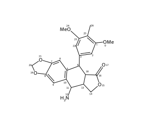 COc1cc(C2c3cc4c(cc3C(N)C3COC(=O)C23)OCO4)cc(OC)c1C